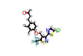 CC(=O)CCc1ccc(OCc2c(-c3ncc(Cl)s3)nsc2C(F)(F)F)c(C)c1C